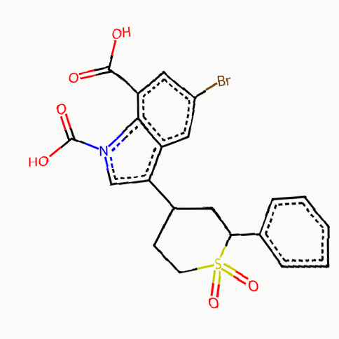 O=C(O)c1cc(Br)cc2c(C3CCS(=O)(=O)C(c4ccccc4)C3)cn(C(=O)O)c12